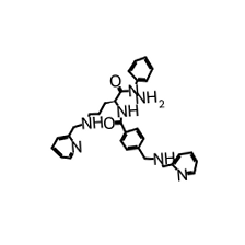 NN(C(=O)[C@H](CCCNCc1ccccn1)NC(=O)c1ccc(CNCc2ccccn2)cc1)c1ccccc1